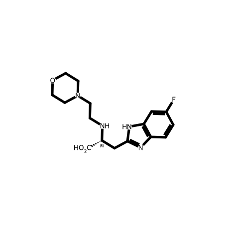 O=C(O)[C@@H](Cc1nc2ccc(F)cc2[nH]1)NCCN1CCOCC1